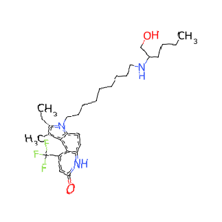 CCCCC(CO)NCCCCCCCCCn1c(CC)c(C)c2c3c(C(F)(F)F)cc(=O)[nH]c3ccc21